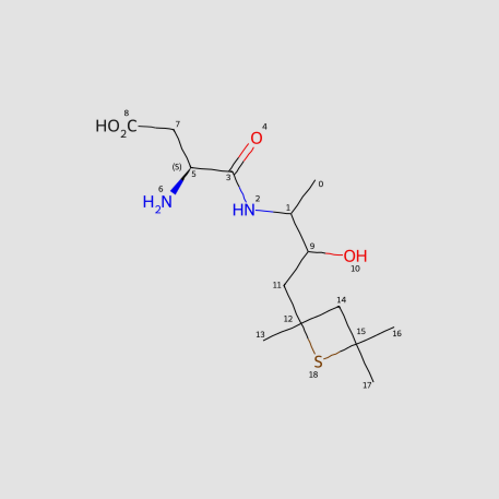 CC(NC(=O)[C@@H](N)CC(=O)O)C(O)CC1(C)CC(C)(C)S1